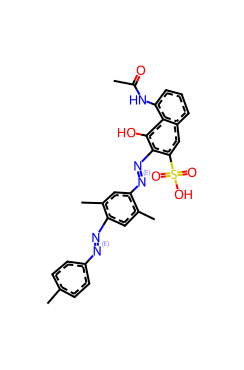 CC(=O)Nc1cccc2cc(S(=O)(=O)O)c(/N=N/c3cc(C)c(/N=N/c4ccc(C)cc4)cc3C)c(O)c12